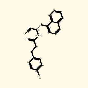 O=[C][C@H](Cc1cccc2ccccc12)NC(=O)CCc1ccc(F)cc1